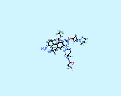 C=CC(=O)N1CC2(CCN(c3nc(OC4CC(N5CCC(F)(F)C5)C4)nc4c(OCC(F)(F)F)c(-c5c(C)ccc(N)c5C=N)c(C5CC5)cc34)CC2)C1